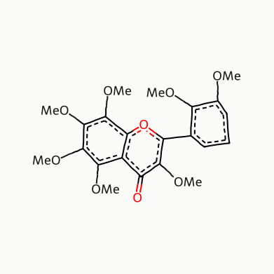 COc1cccc(-c2oc3c(OC)c(OC)c(OC)c(OC)c3c(=O)c2OC)c1OC